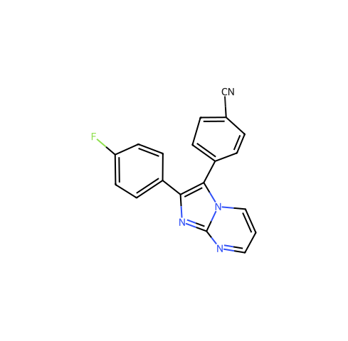 N#Cc1ccc(-c2c(-c3ccc(F)cc3)nc3ncccn23)cc1